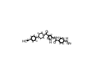 C#Cc1ccc(C2CCN(C(=O)c3cc(NC(=O)c4ccc(NC(C)C)nc4)[nH]n3)CC2)cc1